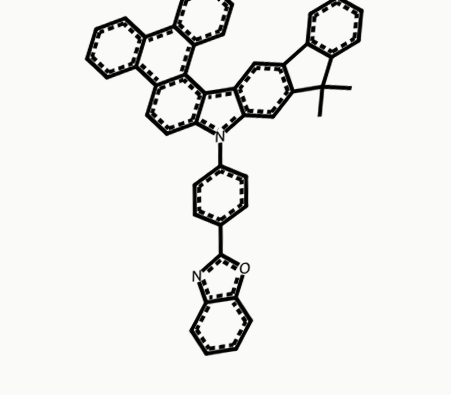 CC1(C)c2ccccc2-c2cc3c4c5c6ccccc6c6ccccc6c5ccc4n(-c4ccc(-c5nc6ccccc6o5)cc4)c3cc21